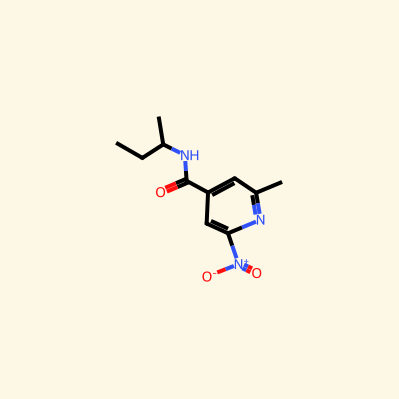 CCC(C)NC(=O)c1cc(C)nc([N+](=O)[O-])c1